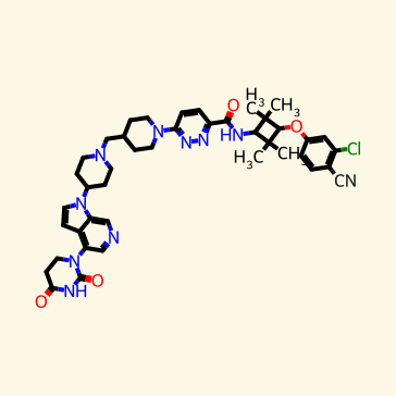 CC1(C)C(NC(=O)c2ccc(N3CCC(CN4CCC(n5ccc6c(N7CCC(=O)NC7=O)cncc65)CC4)CC3)nn2)C(C)(C)C1Oc1ccc(C#N)c(Cl)c1